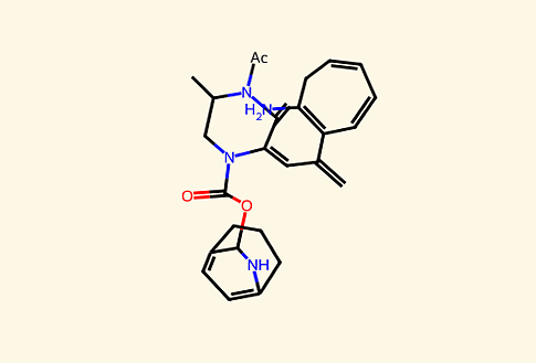 C=C(/C=C1\C(=C)N(C(C)=O)C(C)CN1C(=O)OC1NC2=CC=C1CCC2)C1=C(N)CC=CC=C1